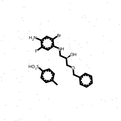 Cc1ccc(S(=O)(=O)O)cc1.Nc1cc(Br)c(NC[C@@H](O)COCc2ccccc2)cc1F